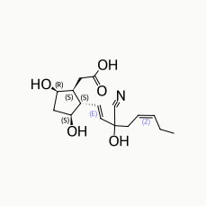 CC/C=C\CC(O)(C#N)/C=C/[C@H]1[C@H](CC(=O)O)[C@H](O)C[C@@H]1O